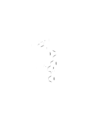 CNc1nc(-c2ccccc2)nc2ccc(-c3cccc(OCc4cc(C)nn4C)c3)cc12